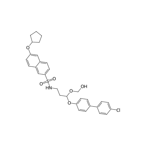 O=S(=O)(NCCC(OCO)Oc1ccc(-c2ccc(Cl)cc2)cc1)c1ccc2cc(OC3CCCC3)ccc2c1